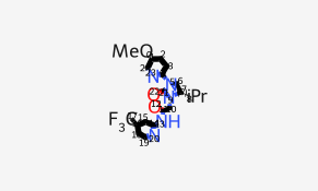 COc1ccc(N2C[C@H](C(C)C)N(CC(=O)Nc3cc(C(F)(F)F)ccn3)C2=O)nc1